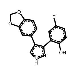 Oc1ccc(Cl)cc1-c1n[nH]cc1-c1ccc2c(c1)OCO2